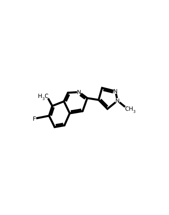 Cc1c(F)ccc2cc(-c3cnn(C)c3)ncc12